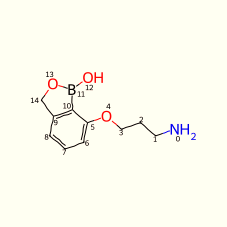 NCCCOc1cccc2c1B(O)OC2